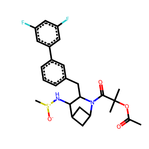 CC(=O)OC(C)(C)C(=O)N1C2CC(C2)C(N[S+](C)[O-])C1Cc1cccc(-c2cc(F)cc(F)c2)c1